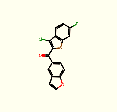 O=C(c1ccc2occc2c1)c1sc2cc(F)ccc2c1Cl